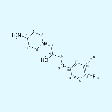 NC1CCN(CC(O)COc2ccc(F)c(F)c2)CC1